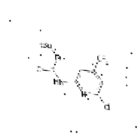 CC(C)(C)OC(=O)Nc1cc(C(F)(F)F)cc(Cl)n1